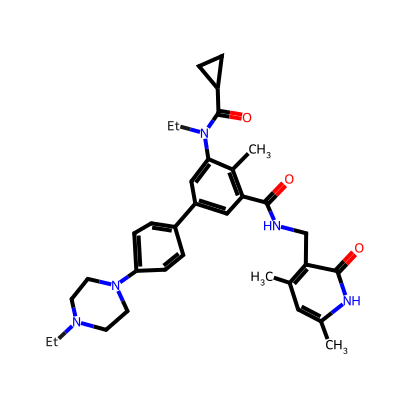 CCN1CCN(c2ccc(-c3cc(C(=O)NCc4c(C)cc(C)[nH]c4=O)c(C)c(N(CC)C(=O)C4CC4)c3)cc2)CC1